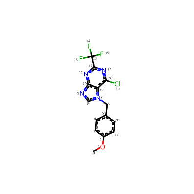 COc1ccc(Cn2cnc3nc(C(F)(F)F)nc(Cl)c32)cc1